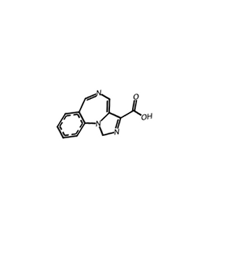 O=C(O)C1=NCN2C1=CN=Cc1ccccc12